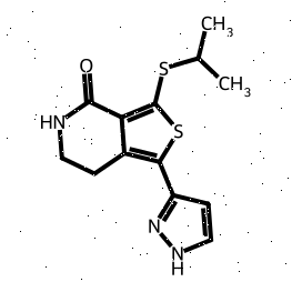 CC(C)Sc1sc(-c2cc[nH]n2)c2c1C(=O)NCC2